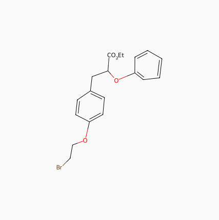 CCOC(=O)C(Cc1ccc(OCCBr)cc1)Oc1ccccc1